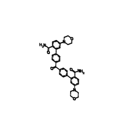 NC(=O)c1ccc(N2CCOCC2)cc1-c1ccc(C(=O)c2ccc(-c3cc(N4CCOCC4)ccc3C(N)=O)cc2)cc1